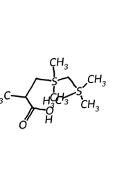 CC(CS(C)(C)CS(C)(C)C)C(=O)O